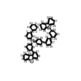 c1ccc(-c2cccc(N(c3ccc(-c4cccc(-c5cccc(-n6c7ccccc7c7ccccc76)c5)c4)cc3)c3cccc(-c4cccc5oc6ccccc6c45)c3)c2)cc1